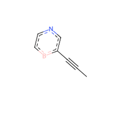 CC#Cc1bccnc1